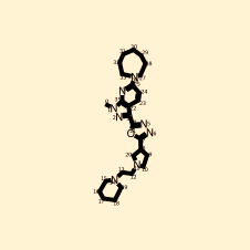 Cn1nc(-c2nnc(C3CCN(CCN4CCCCC4)C3)o2)c2ccc(N3CCCCCCC3)nc21